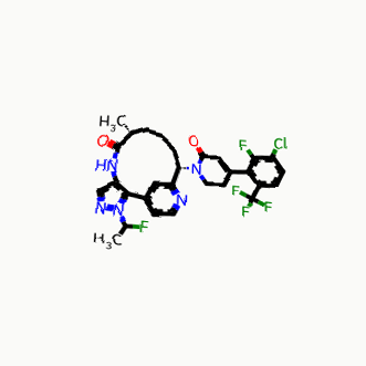 CC(F)n1ncc2c1-c1ccnc(c1)[C@@H](N1CCC(c3c(C(F)(F)F)ccc(Cl)c3F)=CC1=O)CCC[C@@H](C)C(=O)N2